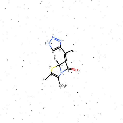 CC1=C(C(=O)O)N2C(=O)C(=C(C)c3c[nH]nn3)[C@H]2S1